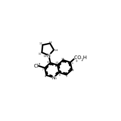 O=C(O)c1ccc2ncc(Cl)c(N3CCCC3)c2c1